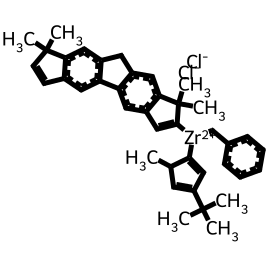 CC1C=C(C(C)(C)C)C=[C]1[Zr+2](=[CH]c1ccccc1)[C]1=Cc2cc3c(cc2C1(C)C)Cc1cc2c(cc1-3)C=CC2(C)C.[Cl-].[Cl-]